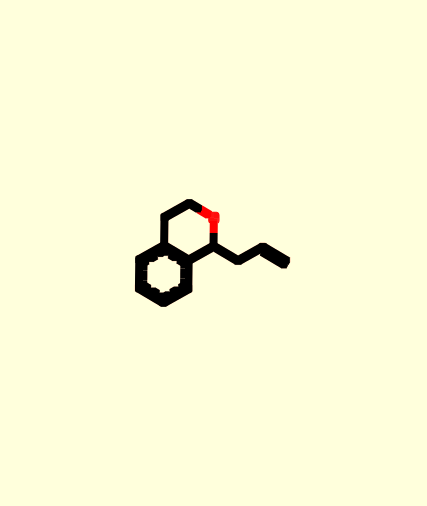 C=CCC1OCCc2ccccc21